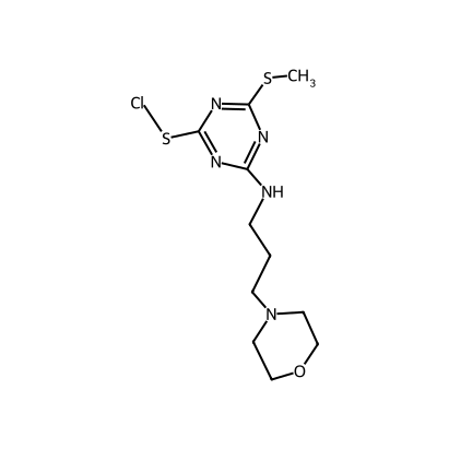 CSc1nc(NCCCN2CCOCC2)nc(SCl)n1